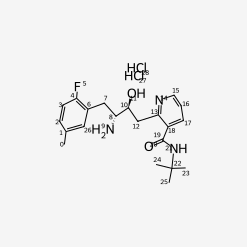 Cc1ccc(F)c(C[C@@H](N)[C@@H](O)Cc2ncccc2C(=O)NC(C)(C)C)c1.Cl.Cl